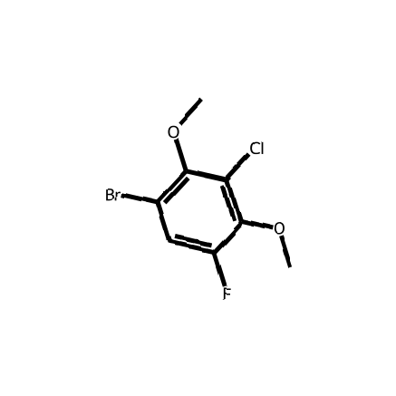 COc1c(F)cc(Br)c(OC)c1Cl